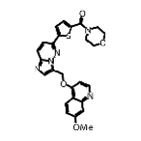 COc1ccc2c(OCc3cnc4ccc(-c5ccc(C(=O)N6CCOCC6)s5)nn34)ccnc2c1